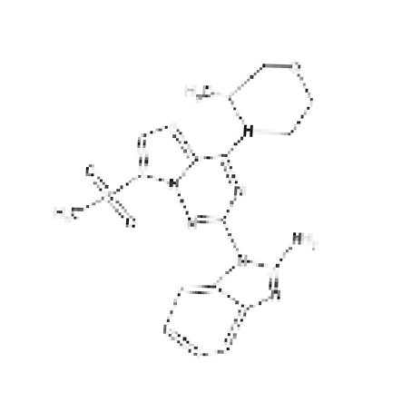 C[C@@H]1COCCN1c1nc(-n2c(N)nc3ccccc32)nn2c(S(C)(=O)=O)ccc12